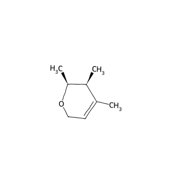 CC1=CCO[C@@H](C)[C@H]1C